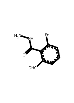 CCc1cccc(C=O)c1C(=O)NN